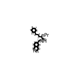 CCCC(CCCc1ccccc1)[C@@H](C)NCc1ccc2cnccc2c1